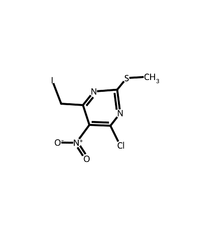 CSc1nc(Cl)c([N+](=O)[O-])c(CI)n1